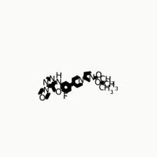 CC(C)(C)OC(=O)N1CCC(N2CCC(c3cc(F)c4c(c3)Nc3ncnc(N5CCOCC5)c3CO4)CC2)C1